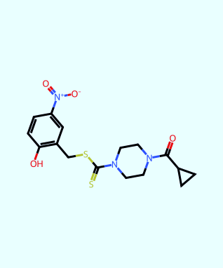 O=C(C1CC1)N1CCN(C(=S)SCc2cc([N+](=O)[O-])ccc2O)CC1